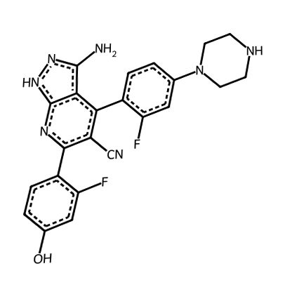 N#Cc1c(-c2ccc(O)cc2F)nc2[nH]nc(N)c2c1-c1ccc(N2CCNCC2)cc1F